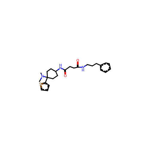 CN(C)C1(c2cccs2)CCC(NC(=O)CCC(=O)NCCCc2ccccc2)CC1